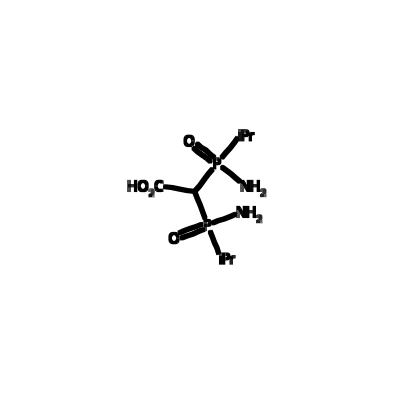 CC(C)P(N)(=O)C(C(=O)O)P(N)(=O)C(C)C